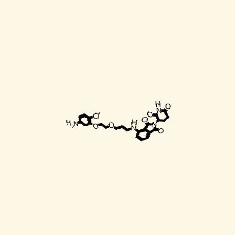 Nc1ccc(Cl)c(OCCOCCCNc2cccc3c2C(=O)N(C2CCC(=O)NC2=O)C3=O)c1